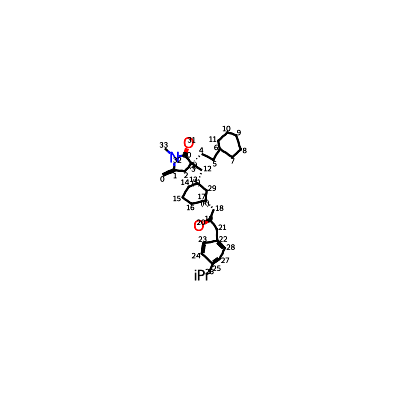 C=C1C[C@](CCC2CCCCC2)(C[C@H]2CCC[C@@H](CC(=O)Cc3ccc(C(C)C)cc3)C2)C(=O)N1C